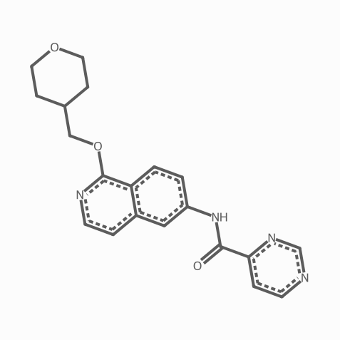 O=C(Nc1ccc2c(OCC3CCOCC3)nccc2c1)c1ccncn1